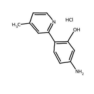 Cc1ccnc(-c2ccc(N)cc2O)c1.Cl